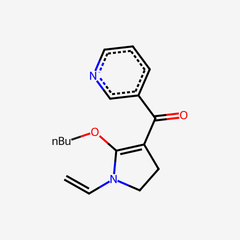 C=CN1CCC(C(=O)c2cccnc2)=C1OCCCC